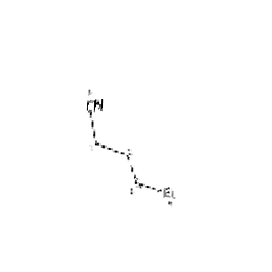 CCSCCC#N